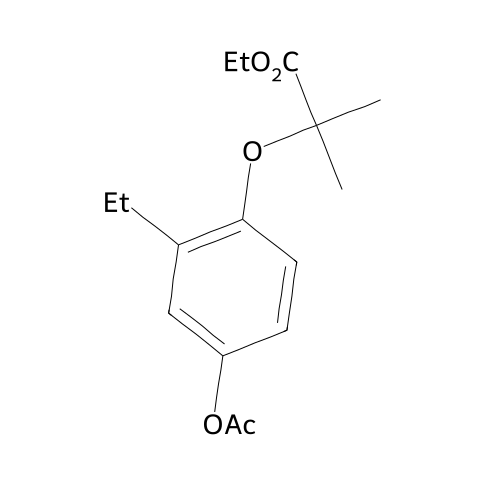 CCOC(=O)C(C)(C)Oc1ccc(OC(C)=O)cc1CC